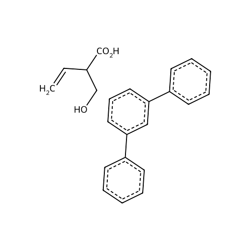 C=CC(CO)C(=O)O.c1ccc(-c2cccc(-c3ccccc3)c2)cc1